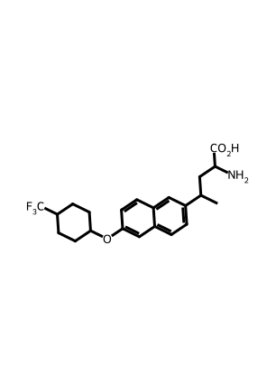 CC(CC(N)C(=O)O)c1ccc2cc(OC3CCC(C(F)(F)F)CC3)ccc2c1